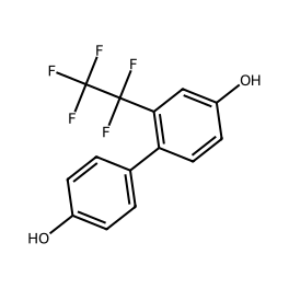 Oc1ccc(-c2ccc(O)cc2C(F)(F)C(F)(F)F)cc1